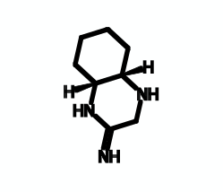 N=C1CN[C@H]2CCCC[C@H]2N1